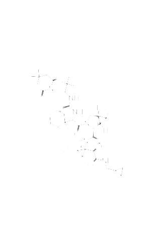 CC[C@H]1C[C@]1(NC(=O)[C@@H]1[C@@H]2[C@H](CN1C(=O)[C@@H](NC(=O)N[C@H](CN1C(=O)CC(C)(C)CC1=O)C(C)(C)C)C1(C)CCCCC1)C2(C)C)C(=O)C(=O)NCC1CC1